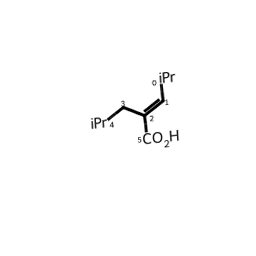 CC(C)C=C(CC(C)C)C(=O)O